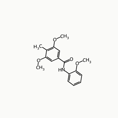 COc1ccccc1NC(=O)c1cc(OC)c(C)c(OC)c1